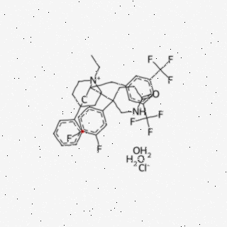 CC[N+]12CCC(c3ccccc3)(CC1)CC2(Cc1cc(C(F)(F)F)cc(C(F)(F)F)c1)C1(c2ccc(F)c(F)c2)CCC(=O)NC1.O.O.[Cl-]